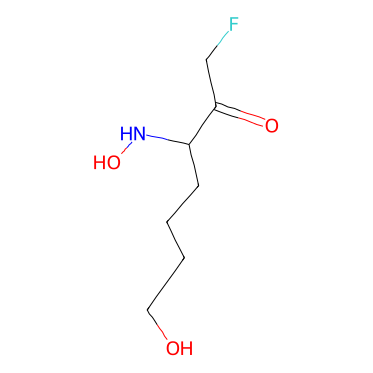 O=C(CF)C(CCCCO)NO